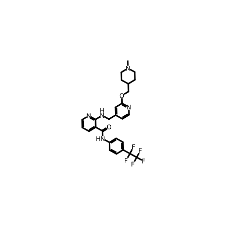 CN1CCC(COc2cc(CNc3ncccc3C(=O)Nc3ccc(C(F)(F)C(F)(F)F)cc3)ccn2)CC1